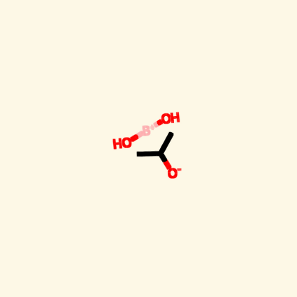 CC(C)[O-].O[B+]O